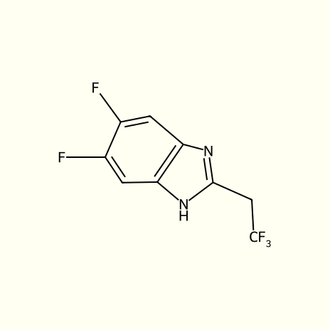 Fc1cc2nc(CC(F)(F)F)[nH]c2cc1F